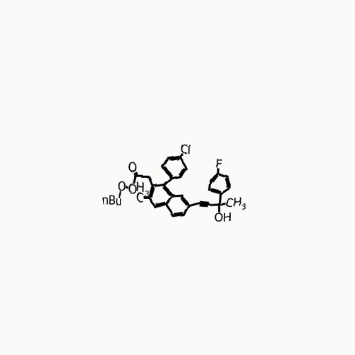 CCCCOOC(=O)Cc1c(C)cc2ccc(C#CC(C)(O)c3ccc(F)cc3)cc2c1-c1ccc(Cl)cc1